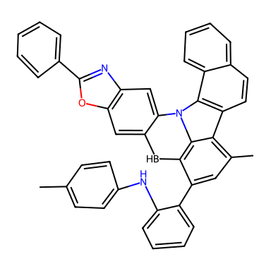 Cc1ccc(Nc2ccccc2-c2cc(C)c3c4ccc5ccccc5c4n4c3c2Bc2cc3oc(-c5ccccc5)nc3cc2-4)cc1